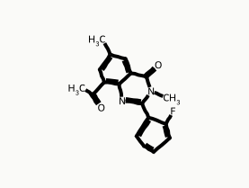 CC(=O)c1cc(C)cc2c(=O)n(C)c(-c3ccccc3F)nc12